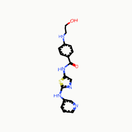 O=C(Nc1cnc(Nc2cccnc2)s1)c1ccc(NCCO)cc1